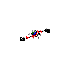 CC1=N/C(=C(/c2c(C)cccc2C)c2c(C)c(C(=O)OCCCCOC(=O)CCCc3ccc4c5cccc6cccc(c7cccc3c74)c65)c(C)n2B(F)F)C(C)=C1C(=O)OCCCCOC(=O)CCCc1ccc2c3cccc4cccc(c5cccc1c52)c43